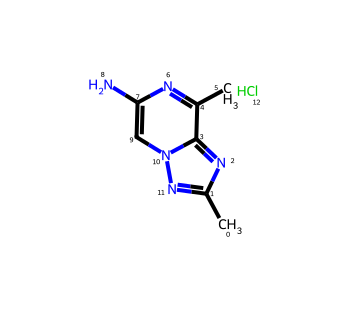 Cc1nc2c(C)nc(N)cn2n1.Cl